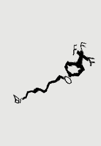 FC(F)(F)c1ccc(OCCCCCCCCBr)cc1